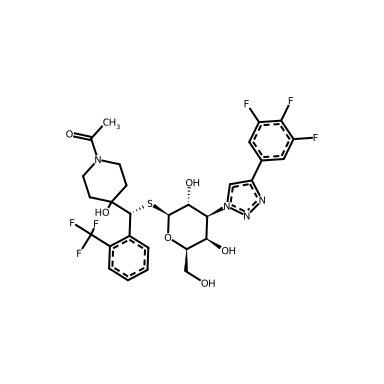 CC(=O)N1CCC(O)([C@H](S[C@@H]2O[C@H](CO)[C@H](O)[C@H](n3cc(-c4cc(F)c(F)c(F)c4)nn3)[C@H]2O)c2ccccc2C(F)(F)F)CC1